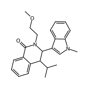 COCCN1C(=O)c2ccccc2C(C(C)C)C1c1cn(C)c2ccccc12